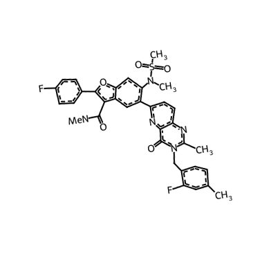 CNC(=O)c1c(-c2ccc(F)cc2)oc2cc(N(C)S(C)(=O)=O)c(-c3ccc4nc(C)n(Cc5ccc(C)cc5F)c(=O)c4n3)cc12